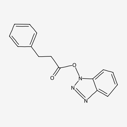 O=C(CCc1ccccc1)On1nnc2ccccc21